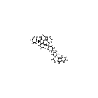 c1ccc(N(c2ccc(-c3ccc4c(ccc5sc6ccccc6c54)c3)cc2)c2cccc3c2c2ccccc2n3-c2ccccc2)cc1